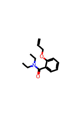 C=CCOc1ccccc1C(=O)N(CC)CC